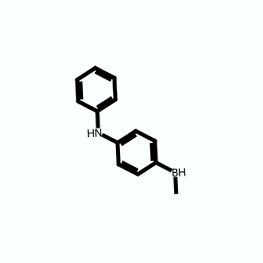 CBc1ccc(Nc2ccccc2)cc1